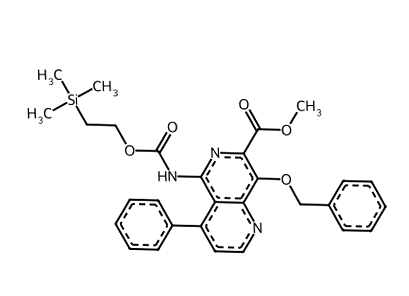 COC(=O)c1nc(NC(=O)OCC[Si](C)(C)C)c2c(-c3ccccc3)ccnc2c1OCc1ccccc1